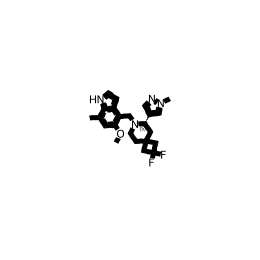 COc1cc(C)c2[nH]ccc2c1CN1CCC2(C[C@H]1c1cnn(C)c1)CC(F)(F)C2